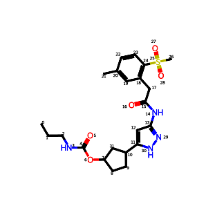 CCCNC(=O)OC1CCC(c2cc(NC(=O)Cc3cc(C)ccc3S(C)(=O)=O)n[nH]2)C1